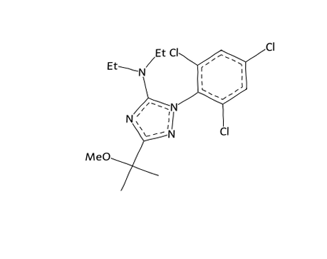 CCN(CC)c1nc(C(C)(C)OC)nn1-c1c(Cl)cc(Cl)cc1Cl